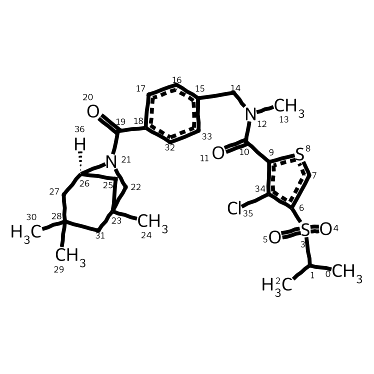 CC(C)S(=O)(=O)c1csc(C(=O)N(C)Cc2ccc(C(=O)N3CC4(C)C[C@H]3CC(C)(C)C4)cc2)c1Cl